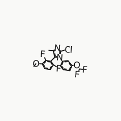 COc1ccc(F)c(-c2c(C)nc(Cl)n2-c2cccc(OC(F)F)c2)c1F